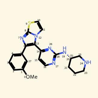 COc1cccc(-c2nc3sccn3c2-c2ccnc(N[C@H]3CCCNC3)n2)c1